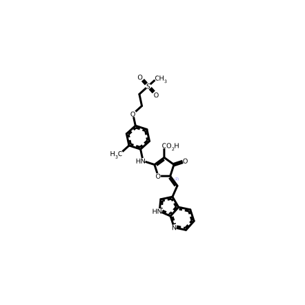 Cc1cc(OCCS(C)(=O)=O)ccc1NC1=C(C(=O)O)C(=O)/C(=C/c2c[nH]c3ncccc23)O1